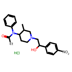 CCC(=O)N(c1ccccc1)C1CCN(CC(O)c2ccc([N+](=O)[O-])cc2)CC1C.Cl